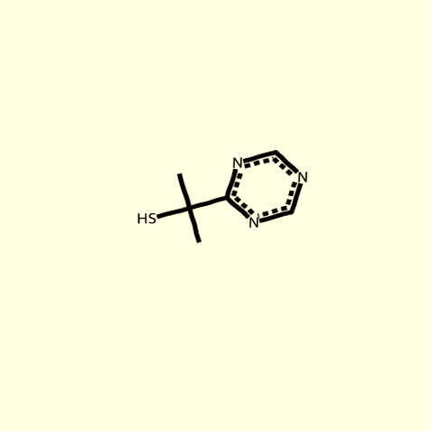 CC(C)(S)c1ncncn1